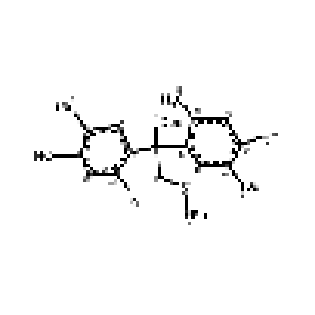 CCCCCCCCCCC(CSCCCC)(c1cc(C(C)(C)C)c(O)cc1C)c1cc(C(C)(C)C)c(O)cc1C